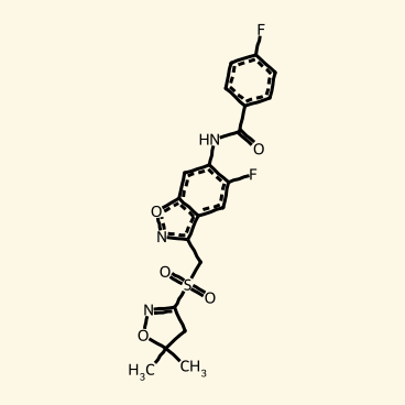 CC1(C)CC(S(=O)(=O)Cc2noc3cc(NC(=O)c4ccc(F)cc4)c(F)cc23)=NO1